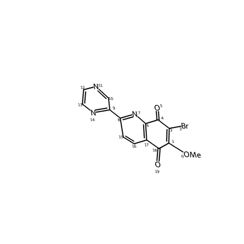 COC1=C(Br)C(=O)c2nc(-c3cnccn3)ccc2C1=O